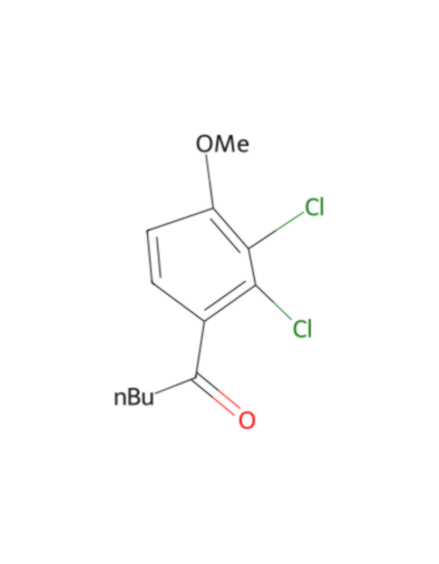 CCCCC(=O)c1ccc(OC)c(Cl)c1Cl